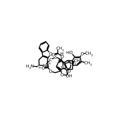 COc1c(C)cc2c(c1O)C1C3[C@@H]4SC[C@]5(N[C@@H](CN)Cc6c5oc5ccccc65)C(=O)OCC(c5c6c(c(C)c(OC(C)=O)c54)OCO6)N3C(O)(C2)CN1C